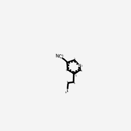 N#Cc1cncc(CCI)c1